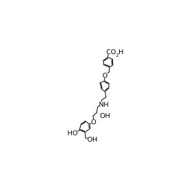 O=C(O)c1ccc(COc2ccc(CCNC[C@H](O)COc3ccc(O)c(CO)c3)cc2)cc1